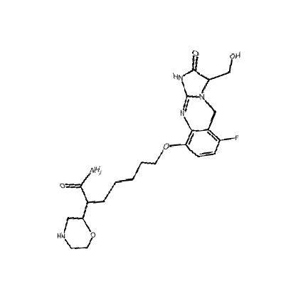 NC(=O)C(CCCCCOc1ccc(F)c2c1N=C1NC(=O)C(CO)N1C2)C1CNCCO1